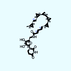 C[C@@H]1C[C@H]1/C=C/[C@@H]1C[C@H]1C1C[C@@H]1[C@H]1C[C@H]1C1C[C@@H]1/C=C/C=C/C(=O)NC[C@H]1O[C@@H](N2CCC(=O)NC2=O)[C@H](O)[C@@H]1O